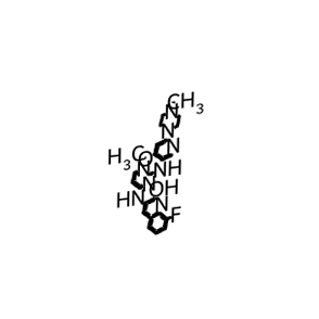 COc1cc(N2CCN(C)CC2)ncc1Nc1nccc(Nc2cc3cccc(F)c3nc2O)n1